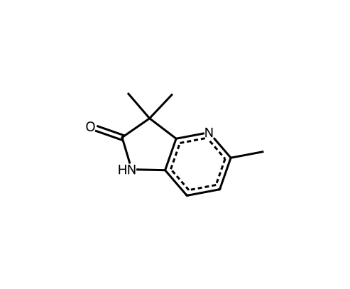 Cc1ccc2c(n1)C(C)(C)C(=O)N2